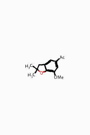 COc1cc(C(C)=O)cc2c1OC(C)(C)C2